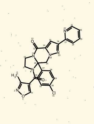 Cc1nocc1C(=O)N1CCN2C(=O)c3cc(-c4ccccn4)nn3CC12c1ccc(Cl)cc1